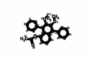 COc1c(OC)c(-c2ccccc2)c2c(OC(C)=O)cccc2c1-c1ccccc1